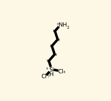 NCCCCC[SiH](Cl)Cl